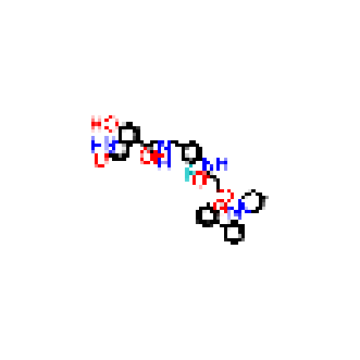 O=C(CCOC(=O)N(c1ccccc1-c1ccccc1)N1CC[CH]CC1)Nc1ccc(CNC[C@@H](O)c2ccc(O)c3[nH]c(=O)ccc23)cc1F